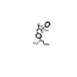 CN(CCO)c1ccc(C=C(C#N)C(=O)C(O)(O)c2ccccc2)cc1